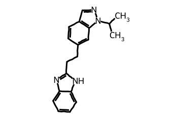 CC(C)n1ncc2ccc(CCc3nc4ccccc4[nH]3)cc21